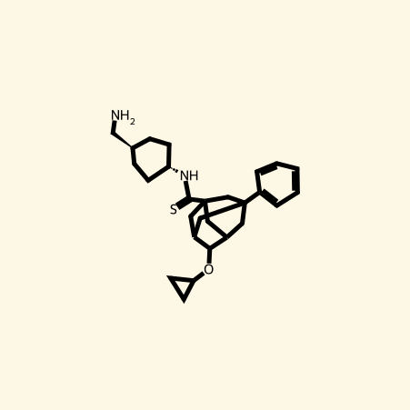 NC[C@H]1CC[C@H](NC(=S)C23CC4CC(c5ccccc5)(CC(C2)C4OC2CC2)C3)CC1